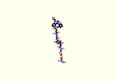 CC(=O)CCCn1nnc2c1-c1ccccc1N(C(=O)CCC(=O)NCCCC[C@H](NC(C)(C)C(=O)CCC(=O)NCCOCCOCCNC(C)(C)C)C(N)=O)Cc1ccccc1-2